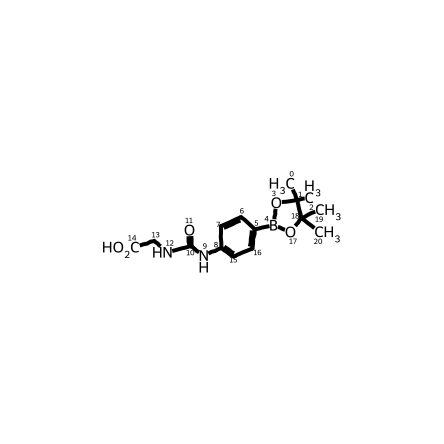 CC1(C)OB(c2ccc(NC(=O)NCC(=O)O)cc2)OC1(C)C